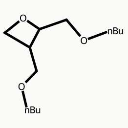 CCCCOCC1COC1COCCCC